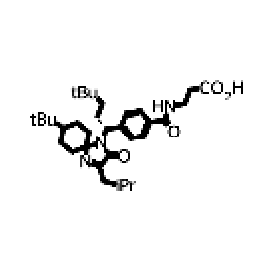 CC(C)CC1=NC2(CCC(C(C)(C)C)CC2)N([C@H](CCC(C)(C)C)c2ccc(C(=O)NCCC(=O)O)cc2)C1=O